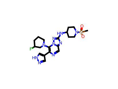 CS(=O)(=O)N1CCC(Nc2nc3cnc(-c4cn[nH]c4)c(N4CCCC(F)C4)n3n2)CC1